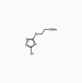 CCc1nc(OCCOC)ns1